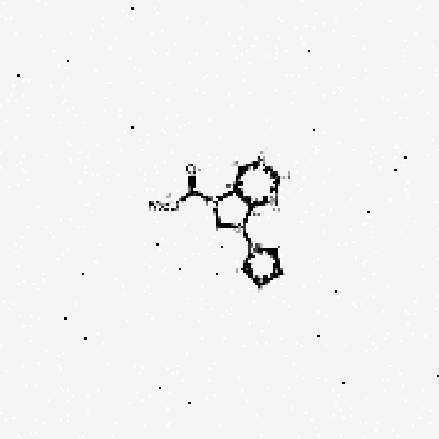 COC(=O)N1CN(n2cccc2)c2ncncc21